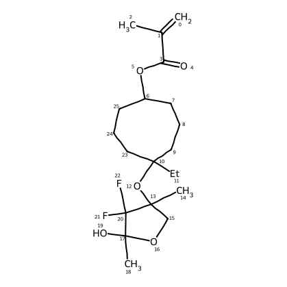 C=C(C)C(=O)OC1CCCC(CC)(OC2(C)COC(C)(O)C2(F)F)CCC1